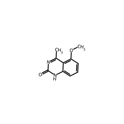 COc1cccc2[nH]c(=O)nc(C)c12